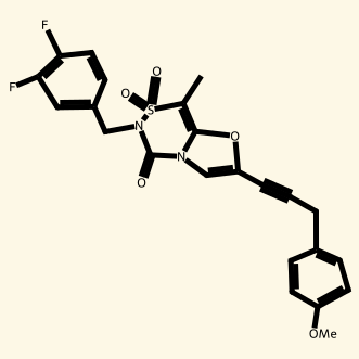 COc1ccc(CC#CC2=CN3C(=O)N(Cc4ccc(F)c(F)c4)S(=O)(=O)C(C)=C3O2)cc1